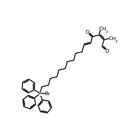 CC(C=O)=C(C)C(=O)C=CCCCCCCCCCCP(Br)(c1ccccc1)(c1ccccc1)c1ccccc1